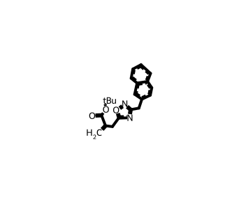 C=C(Cc1nc(Cc2ccc3ccccc3c2)no1)C(=O)OC(C)(C)C